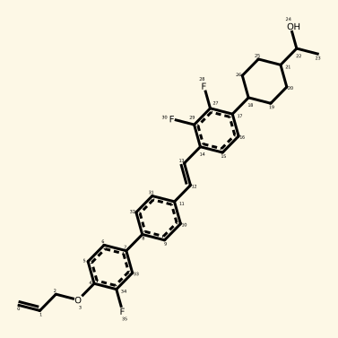 C=CCOc1ccc(-c2ccc(/C=C/c3ccc(C4CCC(C(C)O)CC4)c(F)c3F)cc2)cc1F